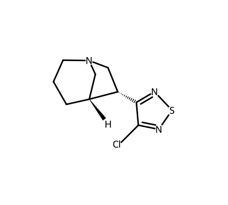 Clc1nsnc1[C@H]1CN2CCC[C@@H]1C2